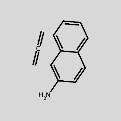 C=C=C.Nc1ccc2ccccc2c1